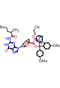 COc1ccc(C(OCC2OC34OC5(OP(OCCC#N)N(C(C)C)C(C)C)C2C5C3C4n2cnc3c(=O)[nH]c(NC(=O)C(C)CCC(C)(C)C)nc32)(c2ccccc2)c2ccc(OC)cc2)cc1